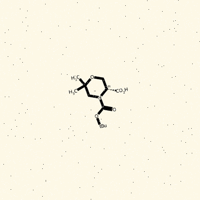 CC(C)(C)OC(=O)N1CC(C)(C)OC[C@@H]1C(=O)O